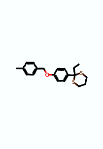 CCC1(c2ccc(OCc3ccc(C)cc3)cc2)SCCCS1